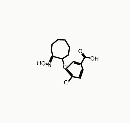 O=C(O)c1ccc(Cl)cc1.ON=C1CCCCCCC1Cl